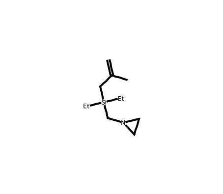 C=C(C)C[Si](CC)(CC)CN1CC1